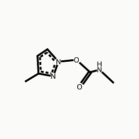 CNC(=O)On1ccc(C)n1